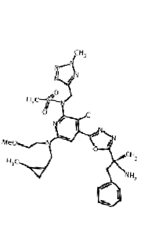 COCCN(CC1CC1C)c1cc(-c2nnc([C@](C)(N)Cc3ccccc3)o2)c(Cl)c(N(Cc2nnn(C)n2)S(C)(=O)=O)n1